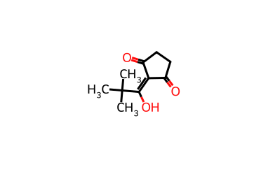 CC(C)(C)C(O)=C1C(=O)CCC1=O